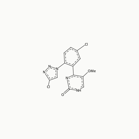 COc1c[nH]c(=O)nc1-c1cc(Cl)ccc1-n1cc(Cl)nn1